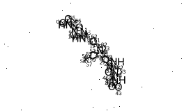 COC(=O)N[C@H](C(=O)N1CCC[C@H]1c1ncc(-c2ccc([C@@H]3CC[C@@H](c4ccc5nc([C@@H]6CCCN6C(=O)[C@@H](NC(=O)OC)C(C)C)[nH]c5c4)N3c3ccc(C(C)(C)C)cc3)cc2)[nH]1)C(C)C